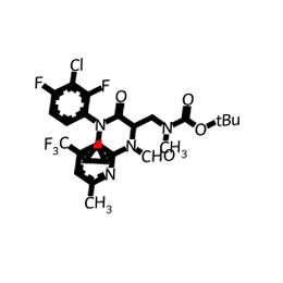 Cc1cc(C(F)(F)F)cc(N(C=O)C(CN(C)C(=O)OC(C)(C)C)C(=O)N(c2ccc(F)c(Cl)c2F)C2CC2)n1